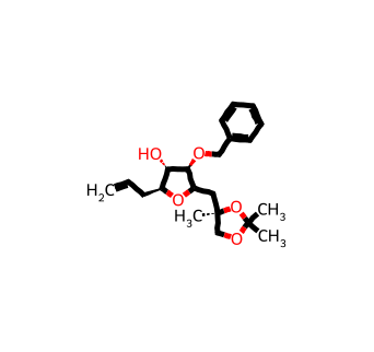 C=CC[C@@H]1OC(C[C@]2(C)COC(C)(C)O2)[C@H](OCc2ccccc2)[C@H]1O